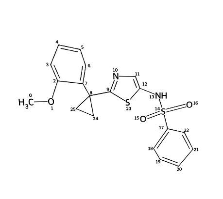 COc1ccccc1C1(c2ncc(NS(=O)(=O)c3ccccc3)s2)CC1